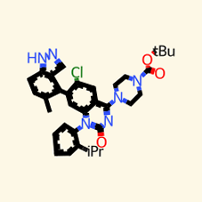 Cc1ccc2[nH]ncc2c1-c1cc2c(cc1Cl)c(N1CCN(C(=O)OC(C)(C)C)CC1)nc(=O)n2-c1ccccc1C(C)C